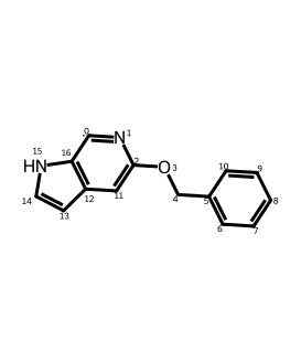 [c]1nc(OCc2ccccc2)cc2cc[nH]c12